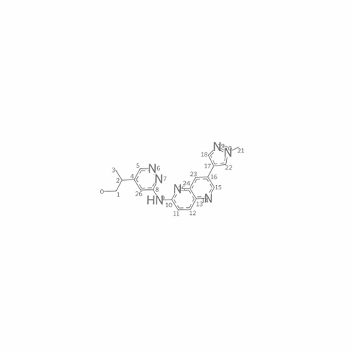 CCC(C)c1cnnc(Nc2ccc3ncc(-c4cnn(C)c4)cc3n2)c1